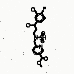 COC(=O)c1ccc(CN(CCC(Cl)c2ccc(F)c(Cl)c2)[SH](=O)=O)nc1